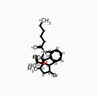 CCCCCC(=O)N1CC2(C(=O)O)C(C)CC(Br)C2c2cccc1c2C(=O)O